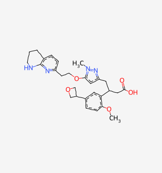 COc1ccc(C2COC2)cc1C(CC(=O)O)Cc1cc(OCCc2ccc3c(n2)NCCC3)n(C)n1